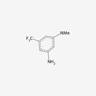 CNc1cc(N)cc(C(F)(F)F)c1